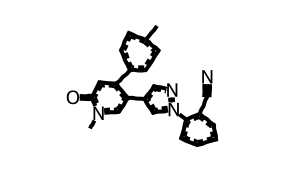 Cc1ccc(-c2cc(=O)n(C)cc2-c2cnn(-c3ccccc3C#N)c2)cc1